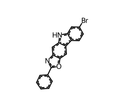 Brc1ccc2c(c1)[nH]c1cc3nc(-c4ccccc4)oc3cc12